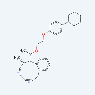 C=C1/C=C\C=C/Cc2ccccc2C1C(C)OCCOc1ccc(C2CCCCC2)cc1